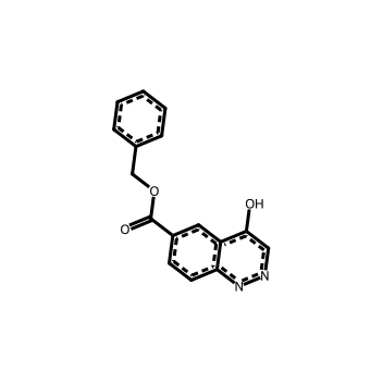 O=C(OCc1ccccc1)c1ccc2nncc(O)c2c1